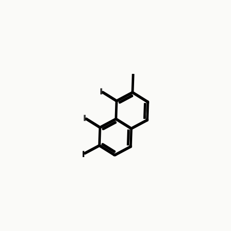 Cc1ccc2ccc(I)c(I)c2c1I